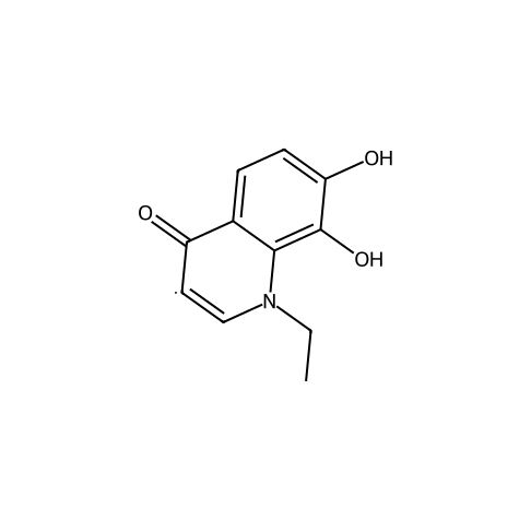 CCn1c[c]c(=O)c2ccc(O)c(O)c21